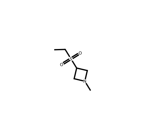 CCS(=O)(=O)C1CN(C)C1